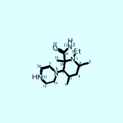 CCN1C(C)CC(C)C(N2CCNCC2)C1(C)C(N)=O